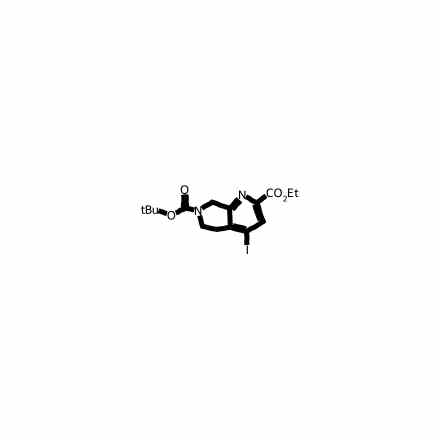 CCOC(=O)c1cc(I)c2c(n1)CN(C(=O)OC(C)(C)C)CC2